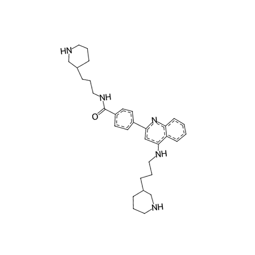 O=C(NCCCC1CCCNC1)c1ccc(-c2cc(NCCCC3CCCNC3)c3ccccc3n2)cc1